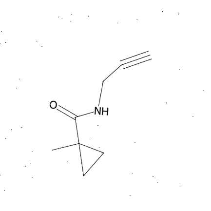 C#CCNC(=O)C1(C)CC1